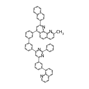 Cc1ccc2ccc3c(-c4cccc(-c5cccc(-c6cc(-c7cccc(-c8cccc9cccnc89)c7)nc(-c7ccccc7)n6)c5)c4)cc(-c4ccc5ccccc5c4)nc3c2n1